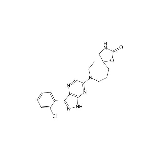 O=C1NCC2(CCCN(c3cnc4c(-c5ccccc5Cl)n[nH]c4n3)CC2)O1